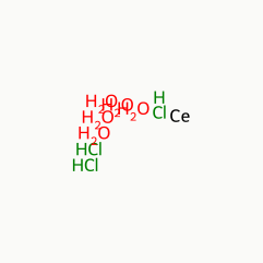 Cl.Cl.Cl.O.O.O.O.O.[Ce]